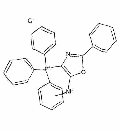 CNc1oc(-c2ccccc2)nc1[P+](c1ccccc1)(c1ccccc1)c1ccccc1.[Cl-]